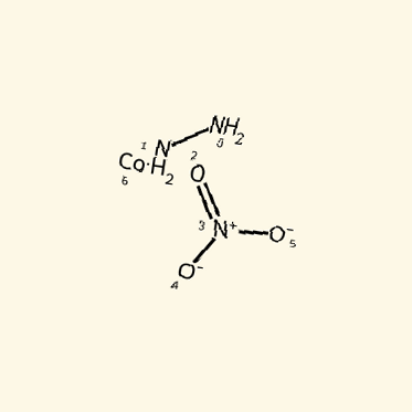 NN.O=[N+]([O-])[O-].[Co]